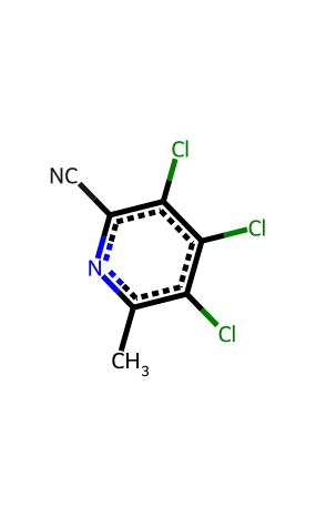 Cc1nc(C#N)c(Cl)c(Cl)c1Cl